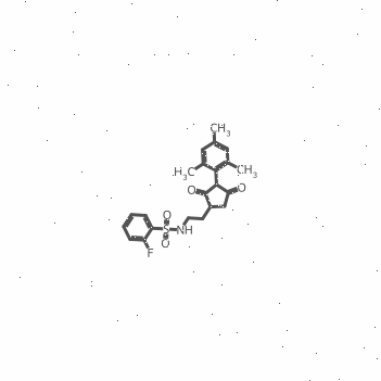 Cc1cc(C)c(C2C(=O)CC(CCNS(=O)(=O)c3ccccc3F)C2=O)c(C)c1